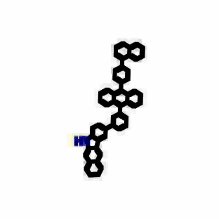 c1cc(-c2ccc3[nH]c4cc5ccccc5cc4c3c2)cc(-c2c3ccccc3c(-c3ccc(-c4cccc5ccccc45)cc3)c3ccccc23)c1